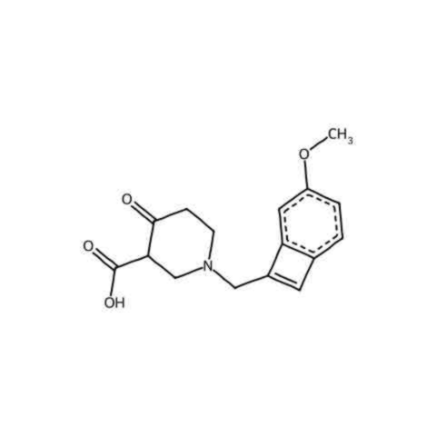 COc1ccc2c(c1)C(CN1CCC(=O)C(C(=O)O)C1)=C2